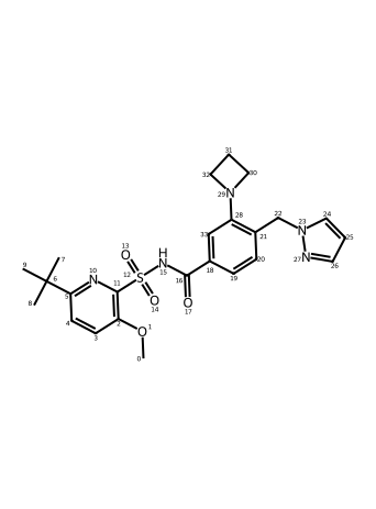 COc1ccc(C(C)(C)C)nc1S(=O)(=O)NC(=O)c1ccc(Cn2cccn2)c(N2CCC2)c1